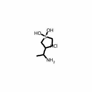 CC(N)C1CCS(O)(O)C1.Cl